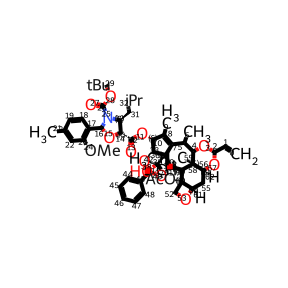 C=CC1OC2C(C)C3=C(C)[C@@H](OC(=O)[C@@H]4OC(c5ccc(C)cc5OC)N(C(=O)OC(C)(C)C)[C@H]4CC(C)C)C[C@@]3(C(C)(C)O)[C@@H](OC(=O)c3ccccc3)[C@@H]3[C@]4(OC(C)=O)CO[C@@H]4C[C@H](O1)[C@@]23C